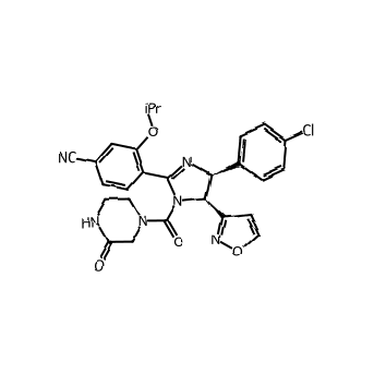 CC(C)Oc1cc(C#N)ccc1C1=N[C@@H](c2ccc(Cl)cc2)[C@@H](c2ccon2)N1C(=O)N1CCNC(=O)C1